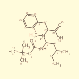 CCC(C)CC(NC(=O)OC(C)(C)C)N(C)C(Cc1ccccc1)C(=O)O